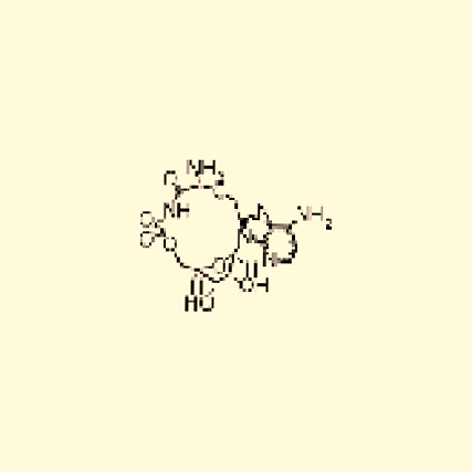 Nc1ccnc2c1nc1n2[C@@H]2O[C@H](COS(=O)(=O)NC(=O)[C@H](N)CC1)[C@@H](O)[C@H]2O